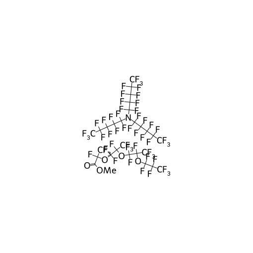 COC(=O)C(F)(OC(F)(F)C(F)(OC(F)(F)C(F)(OC(F)(F)C(F)(F)C(F)(F)F)C(F)(F)F)C(F)(F)F)C(F)(F)F.FC(F)(F)C(F)(F)C(F)(F)C(F)(F)C(F)(F)N(C(F)(F)C(F)(F)C(F)(F)C(F)(F)C(F)(F)F)C(F)(F)C(F)(F)C(F)(F)C(F)(F)C(F)(F)F